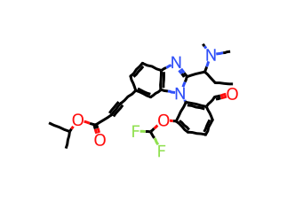 CCC(c1nc2ccc(C#CC(=O)OC(C)C)cc2n1-c1c(C=O)cccc1OC(F)F)N(C)C